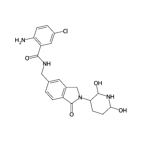 Nc1ccc(Cl)cc1C(=O)NCc1ccc2c(c1)CN(C1CCC(O)NC1O)C2=O